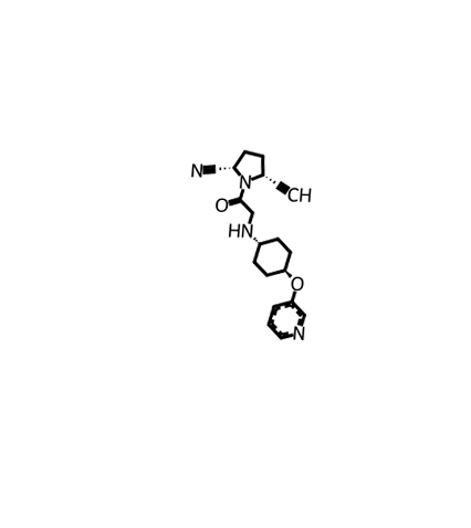 C#C[C@H]1CC[C@@H](C#N)N1C(=O)CN[C@H]1CC[C@H](Oc2cccnc2)CC1